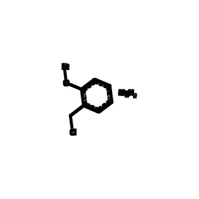 CCOc1ccccc1CCl.[MgH2]